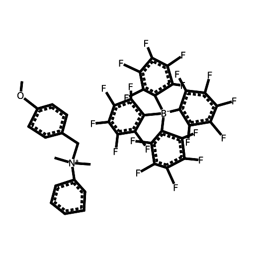 COc1ccc(C[N+](C)(C)c2ccccc2)cc1.Fc1c(F)c(F)c([B-](c2c(F)c(F)c(F)c(F)c2F)(c2c(F)c(F)c(F)c(F)c2F)c2c(F)c(F)c(F)c(F)c2F)c(F)c1F